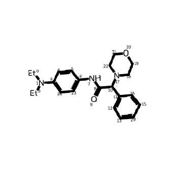 CCN(CC)c1ccc(NC(=O)C(c2ccccc2)N2CCOCC2)cc1